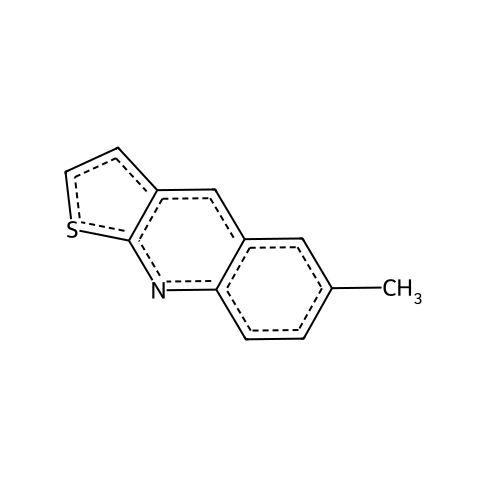 Cc1ccc2nc3sccc3cc2c1